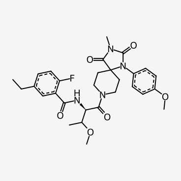 CCc1ccc(F)c(C(=O)N[C@@H](C(=O)N2CCC3(CC2)C(=O)N(C)C(=O)N3c2ccc(OC)cc2)C(C)OC)c1